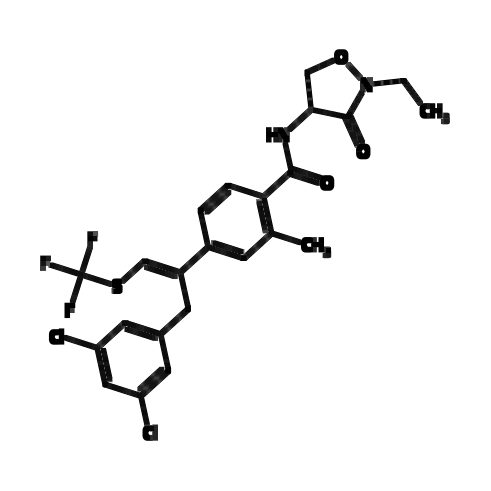 CCN1OCC(NC(=O)c2ccc(/C(=C/SC(F)(F)F)Cc3cc(Cl)cc(Cl)c3)cc2C)C1=O